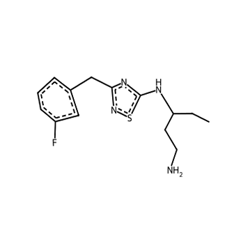 CCC(CCN)Nc1nc(Cc2cccc(F)c2)ns1